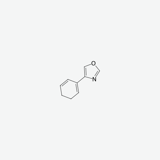 C1=CC(c2cocn2)=CCC1